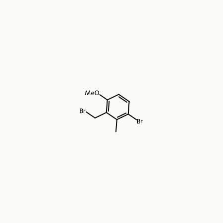 COc1ccc(Br)c(C)c1CBr